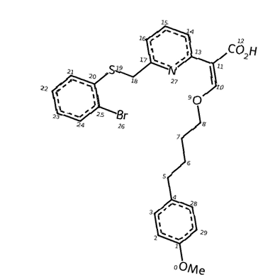 COc1ccc(CCCCOC=C(C(=O)O)c2cccc(CSc3ccccc3Br)n2)cc1